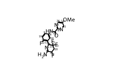 COc1cnc(C(=O)Nc2ccc(F)c(C3N=C(N)C(F)CC3(F)F)c2)nc1